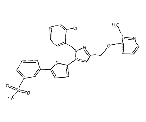 Cc1ncccc1OCc1cc(-c2ccc(-c3cccc(S(C)(=O)=O)c3)s2)n(-c2ccccc2Cl)n1